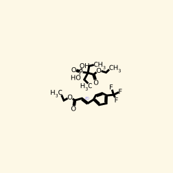 CCOC(=O)/C=C/c1ccc(C(F)(F)F)cc1.CCOC(=O)C(CC)(CC)P(=O)(O)O